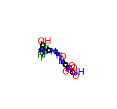 C[C@@H]1Cc2cc(O)ccc2[C@@H](c2c(F)cc(N3CCC4(CN(C(=O)CN5Cc6cc7c(cc6C5)C(=O)N(C5CCC(=O)NC5=O)C7=O)C4)C3)cc2F)N1CC(F)F